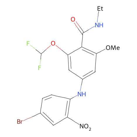 CCNC(=O)c1c(OC)cc(Nc2ccc(Br)cc2[N+](=O)[O-])cc1OC(F)F